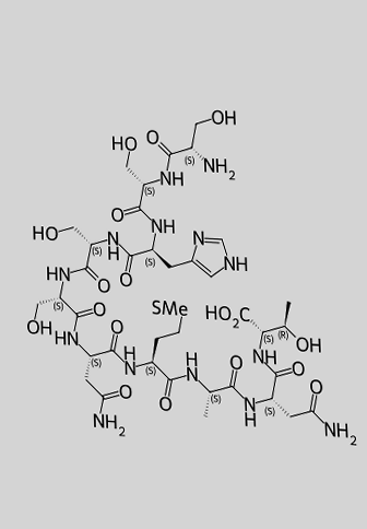 CSCC[C@H](NC(=O)[C@H](CC(N)=O)NC(=O)[C@H](CO)NC(=O)[C@H](CO)NC(=O)[C@H](Cc1c[nH]cn1)NC(=O)[C@H](CO)NC(=O)[C@@H](N)CO)C(=O)N[C@@H](C)C(=O)N[C@@H](CC(N)=O)C(=O)N[C@H](C(=O)O)[C@@H](C)O